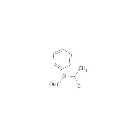 CC(Cl)OC=O.c1ccccc1